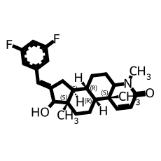 CN1C(=O)C=C[C@@]2(C)C1CC[C@@H]1[C@H]2CC[C@]2(C)C(O)C(=Cc3cc(F)cc(F)c3)C[C@@H]12